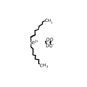 CCCCCCC[CH2][Sn+2][CH2]CCCCCCC.O=C[O-].O=C[O-]